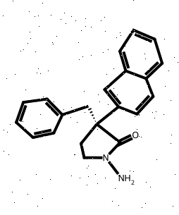 NN1CC[C@@](Cc2ccccc2)(c2ccc3ccccc3c2)C1=O